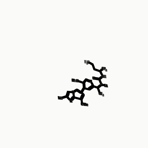 CCN(C(=O)N[C@@H](CCC(F)(F)F)C(F)(F)F)C(c1cc(-c2cc(OC)c3nc(C#N)cn3c2)c(OC)cn1)C(F)(F)F